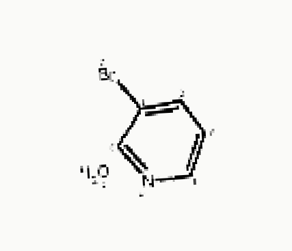 Brc1cccnc1.O